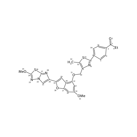 CCC(=O)c1ccc(-c2nc(COc3cc(OC)cc4oc(-c5cn6nc(OC)sc6n5)cc34)c(C)s2)cc1